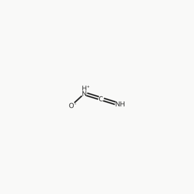 N=C=[NH+][O-]